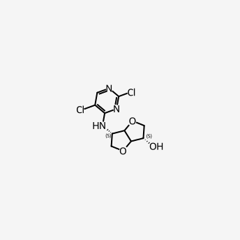 O[C@H]1COC2C1OC[C@@H]2Nc1nc(Cl)ncc1Cl